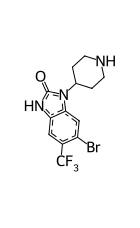 O=c1[nH]c2cc(C(F)(F)F)c(Br)cc2n1C1CCNCC1